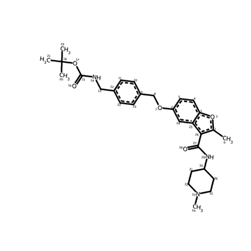 Cc1oc2ccc(OCc3ccc(CNC(=O)OC(C)(C)C)cc3)cc2c1C(=O)NC1CCN(C)CC1